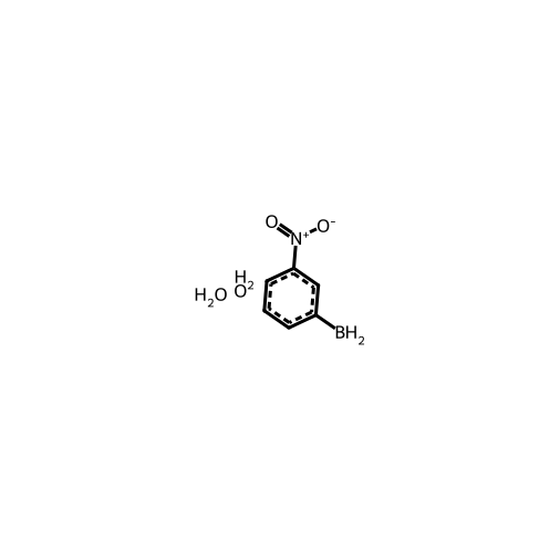 Bc1cccc([N+](=O)[O-])c1.O.O